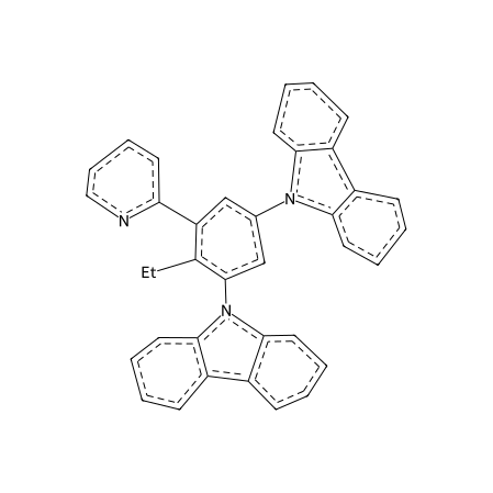 CCc1c(-c2ccccn2)cc(-n2c3ccccc3c3ccccc32)cc1-n1c2ccccc2c2ccccc21